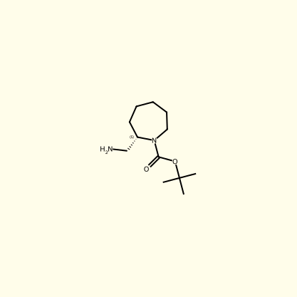 CC(C)(C)OC(=O)N1CCCCC[C@H]1CN